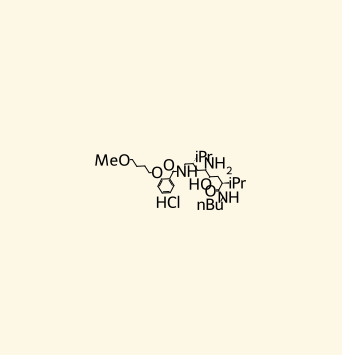 CCCCNC(=O)[C@@H](C[C@H](O)[C@@H](N)C[C@H](CNC(=O)c1ccccc1OCCCCOC)C(C)C)C(C)C.Cl